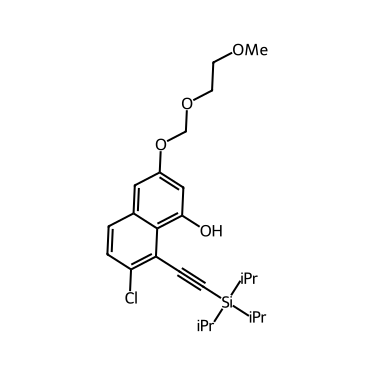 COCCOCOc1cc(O)c2c(C#C[Si](C(C)C)(C(C)C)C(C)C)c(Cl)ccc2c1